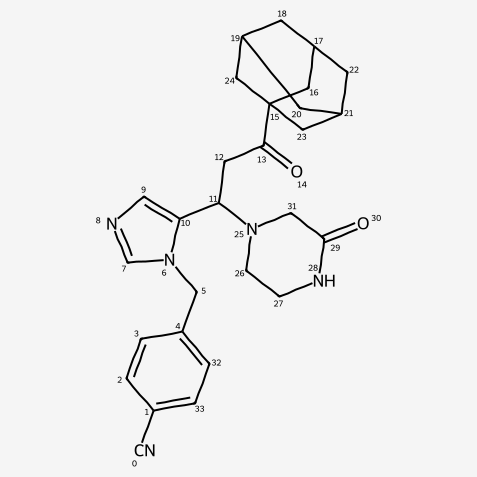 N#Cc1ccc(Cn2cncc2C(CC(=O)C23CC4CC(CC(C4)C2)C3)N2CCNC(=O)C2)cc1